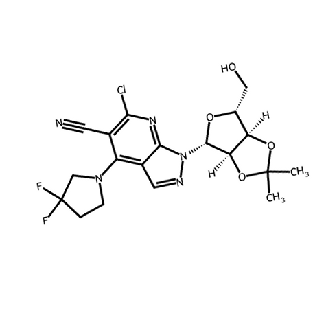 CC1(C)O[C@@H]2[C@H](O1)[C@@H](CO)O[C@H]2n1ncc2c(N3CCC(F)(F)C3)c(C#N)c(Cl)nc21